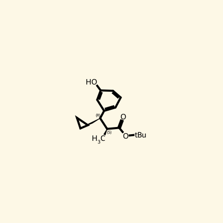 C[C@H](C(=O)OC(C)(C)C)[C@H](c1cccc(O)c1)C1CC1